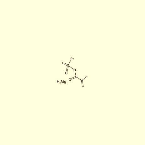 C=C(C)C(=O)OS(=O)(=O)CC.[MgH2]